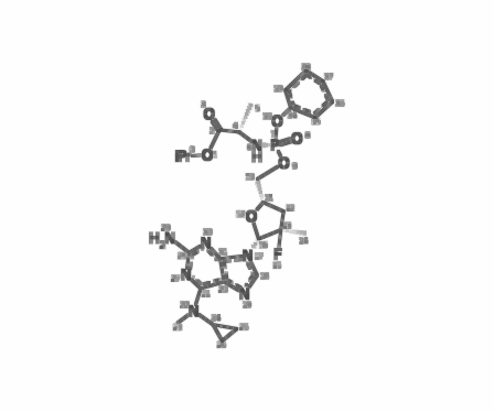 CC(C)OC(=O)[C@H](C)N[P@](=O)(OC[C@@H]1C[C@@](C)(F)[C@H](n2cnc3c(N(C)C4CC4)nc(N)nc32)O1)Oc1ccccc1